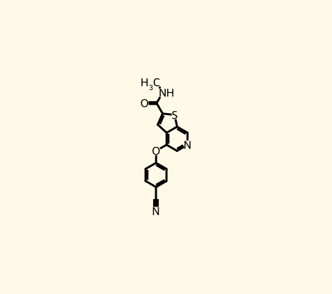 CNC(=O)c1cc2c(Oc3ccc(C#N)cc3)cncc2s1